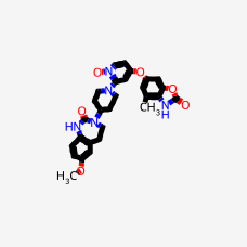 COc1ccc2c(c1)CCN(C1CCN(c3cc(Oc4cc(C)c5[nH]c(=O)oc5c4)cc[n+]3[O-])CC1)C(=O)N2